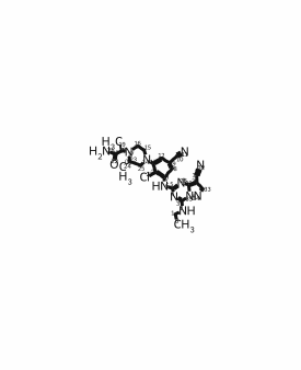 CCNc1nc(Nc2cc(C#N)cc(N3CCN([C@H](C)C(N)=O)[C@@H](C)C3)c2Cl)nc2c(C#N)cnn12